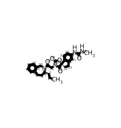 CCC[C@H]1CCc2ccccc2CN1C(=O)CN1C(=O)O[C@]2(CCc3cc(NC(=O)NC)ccc32)C1=O